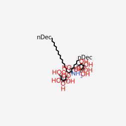 CCCCCCCCCCCCCCCCCCCCCCCCCC(=O)C(O[C@H]1O[C@H](CO)[C@H](O)[C@H](O)[C@H]1O)[C@@H](N)[C@H](O)[C@H](O)CC(CCCCCCCCCCCC)[C@H]1O[C@H](CO)[C@@H](O)[C@H](O)[C@H]1O